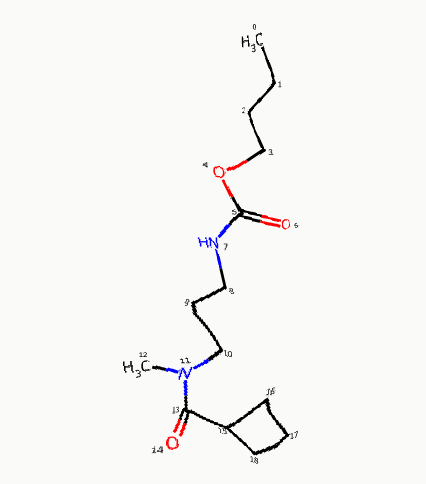 CCCCOC(=O)NCCCN(C)C(=O)C1CCC1